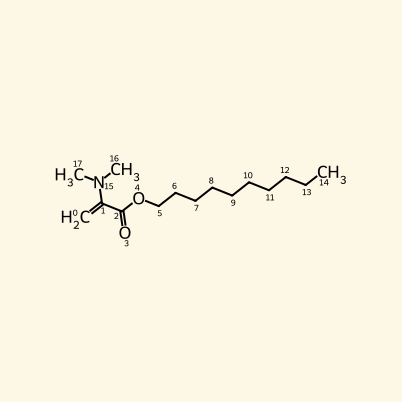 C=C(C(=O)OCCCCCCCCCC)N(C)C